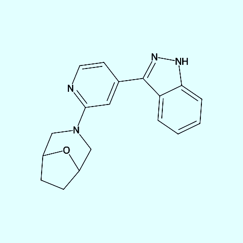 c1ccc2c(-c3ccnc(N4CC5CCC(C4)O5)c3)n[nH]c2c1